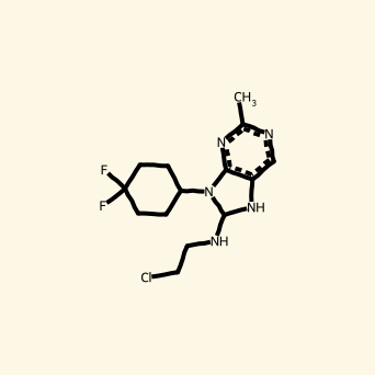 Cc1ncc2c(n1)N(C1CCC(F)(F)CC1)C(NCCCl)N2